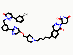 N#Cc1cccc(-c2ccc(=O)n(Cc3cccc(-c4ncc(OCC5CCN(CCCCCc6ccc7c(=O)n(C8CCC(=O)NC8=O)ncc7c6)CC5)cn4)c3)n2)c1